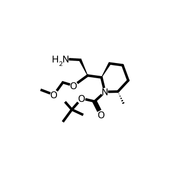 COCO[C@@H](CN)[C@H]1CCC[C@H](C)N1C(=O)OC(C)(C)C